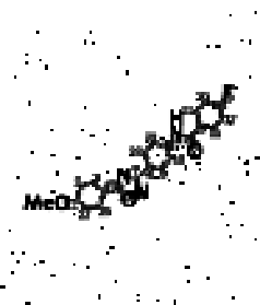 COc1ccc(-c2nc(-c3ccc(NC(=O)c4ccc(F)cc4)cc3)no2)cc1